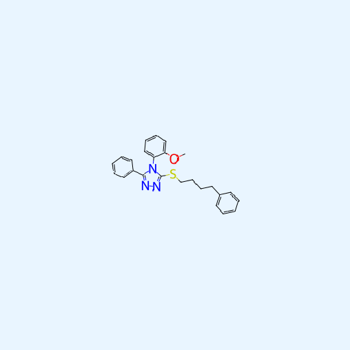 COc1ccccc1-n1c(SCCCCc2ccccc2)nnc1-c1ccccc1